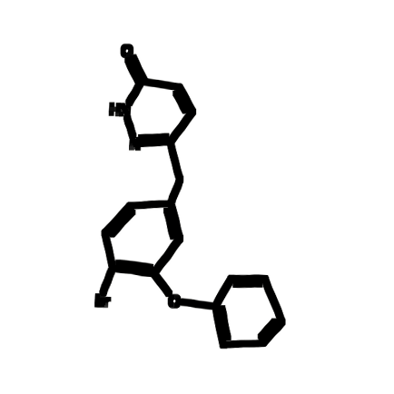 O=c1ccc(Cc2ccc(Br)c(Oc3ccccc3)c2)n[nH]1